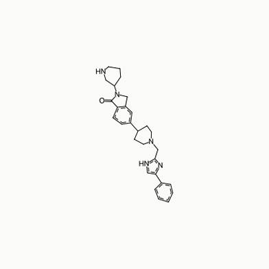 O=C1c2ccc(C3CCN(Cc4nc(-c5ccccc5)c[nH]4)CC3)cc2CN1C1CCCNC1